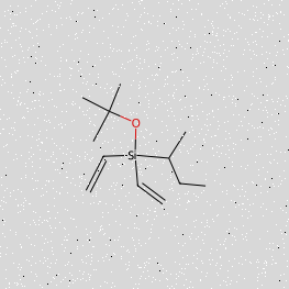 C=C[Si](C=C)(OC(C)(C)C)C(C)CC